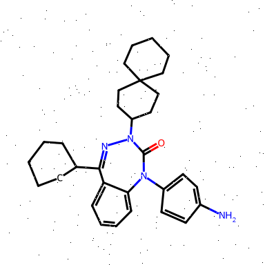 Nc1ccc(N2C(=O)N(C3CCC4(CCCCC4)CC3)N=C(C3CCCCC3)c3ccccc32)cc1